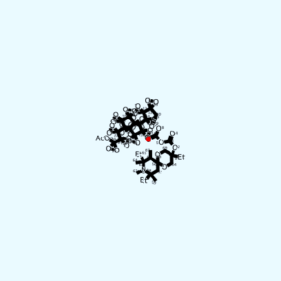 CCC1(OC(=O)OC(=O)OOCC2(C3(C4(C5(C6(C7(C8(C9(C%10(C%11(C%12(C%13(C%14(C%15(OC(C)=O)OO%15)OO%14)OO%13)OO%12)OO%11)OO%10)OO9)OO8)OO7)OO6)OO5)OO4)OO3)OO2)COC2(CC(C)(CC)N(C)C(C)(CC)C2C)OC1